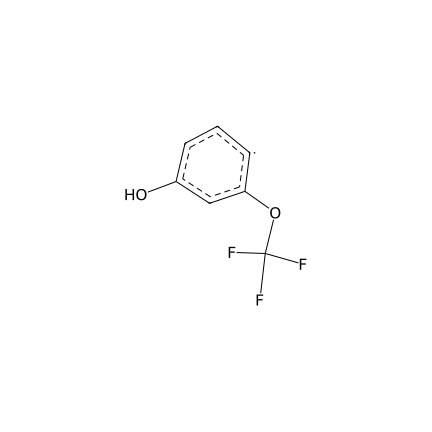 Oc1cc[c]c(OC(F)(F)F)c1